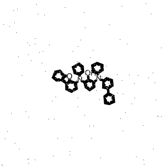 Oc1c(N(c2ccccc2)c2cccc(-c3ccccc3)c2)cccc1N(c1ccccc1)c1cccc2c1oc1ccccc12